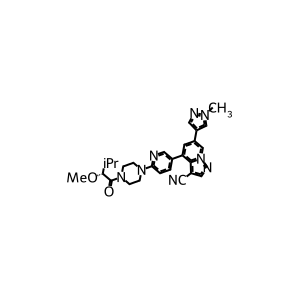 CO[C@@H](C(=O)N1CCN(c2ccc(-c3cc(-c4cnn(C)c4)cn4ncc(C#N)c34)cn2)CC1)C(C)C